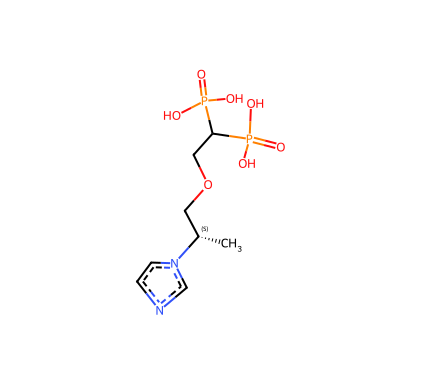 C[C@@H](COCC(P(=O)(O)O)P(=O)(O)O)n1ccnc1